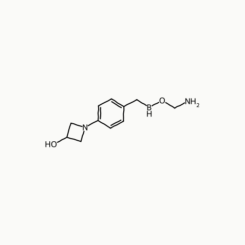 NCOBCc1ccc(N2CC(O)C2)cc1